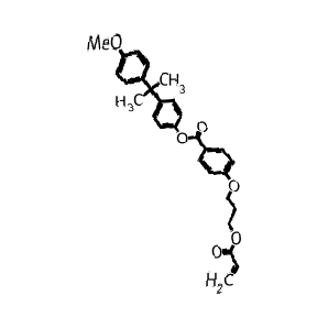 C=CC(=O)OCCCOc1ccc(C(=O)Oc2ccc(C(C)(C)c3ccc(OC)cc3)cc2)cc1